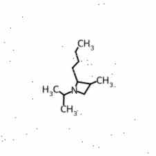 CCCCC1C(C)CN1C(C)C